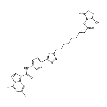 Cc1cc(C)n2ccc(C(=O)Nc3ccc(-c4cn(CCCCCCCCC(=O)ON5C(=O)CCC5O)nn4)cc3)c2n1